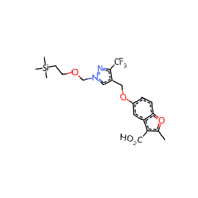 Cc1oc2ccc(OCc3cn(COCC[Si](C)(C)C)nc3C(F)(F)F)cc2c1C(=O)O